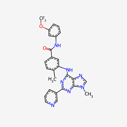 Cc1ccc(C(=O)Nc2cccc(OC(F)(F)F)c2)cc1Nc1nc(-c2cccnc2)nc2c1ncn2C